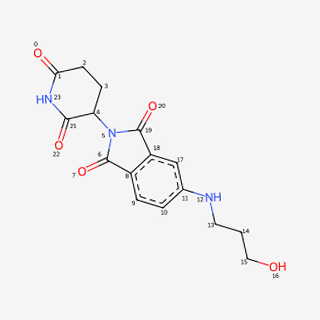 O=C1CCC(N2C(=O)c3ccc(NCCCO)cc3C2=O)C(=O)N1